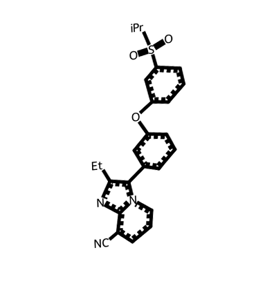 CCc1nc2c(C#N)cccn2c1-c1cccc(Oc2cccc(S(=O)(=O)C(C)C)c2)c1